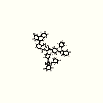 Fc1c2cccc(-c3cc4ccccc4c4ccccc34)c2nc2nc(-c3ccc(-c4nc5ccccc5n4-c4ccccc4)cc3)c(-c3ccc(-c4nc5ccccc5n4-c4ccccc4)cc3)n12